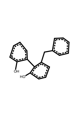 Oc1ccccc1-c1c(O)cccc1Cc1ccccc1